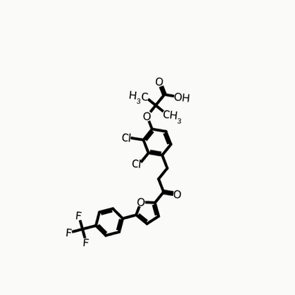 CC(C)(Oc1ccc(CCC(=O)c2ccc(-c3ccc(C(F)(F)F)cc3)o2)c(Cl)c1Cl)C(=O)O